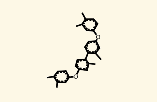 Cc1ccc(Oc2ccc(-c3ccc(Oc4ccc(C)c(C)c4)cc3C)c(C)c2)cc1C